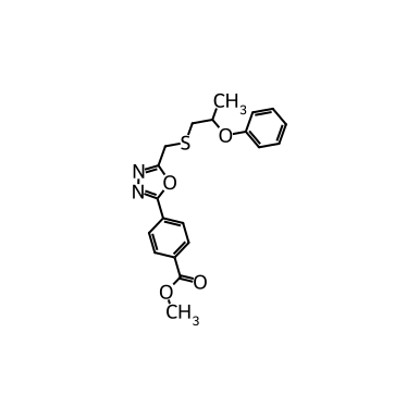 COC(=O)c1ccc(-c2nnc(CSCC(C)Oc3ccccc3)o2)cc1